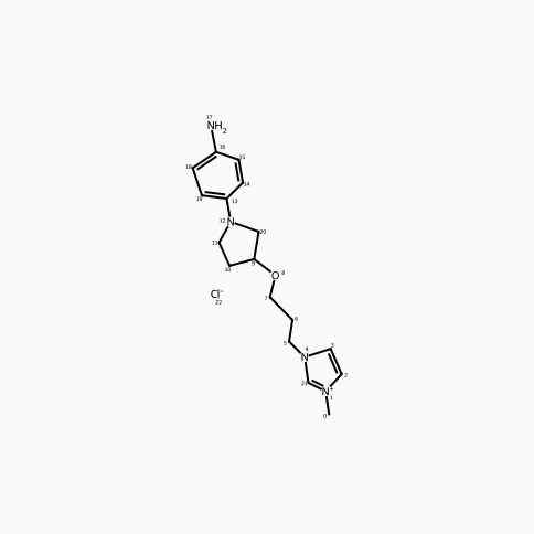 C[n+]1ccn(CCCOC2CCN(c3ccc(N)cc3)C2)c1.[Cl-]